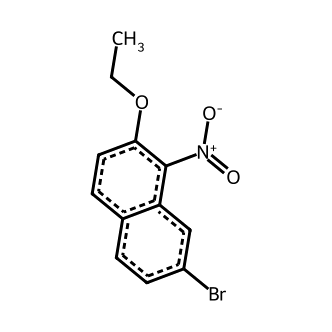 CCOc1ccc2ccc(Br)cc2c1[N+](=O)[O-]